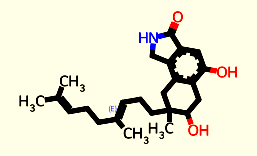 CC(C)=CCC/C(C)=C/CCC1(C)Cc2c(c(O)cc3c2CNC3=O)CC1O